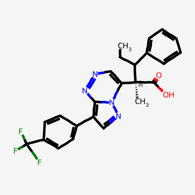 CCC(c1ccccc1)[C@@](C)(C(=O)O)c1cnnc2c(-c3ccc(C(F)(F)F)cc3)cnn12